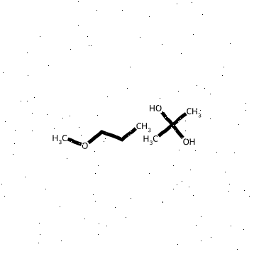 CC(C)(O)O.CCCOC